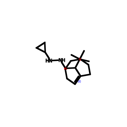 CC(C)(C)C(CNNC1CC1)/C1=C\CCCCCC1